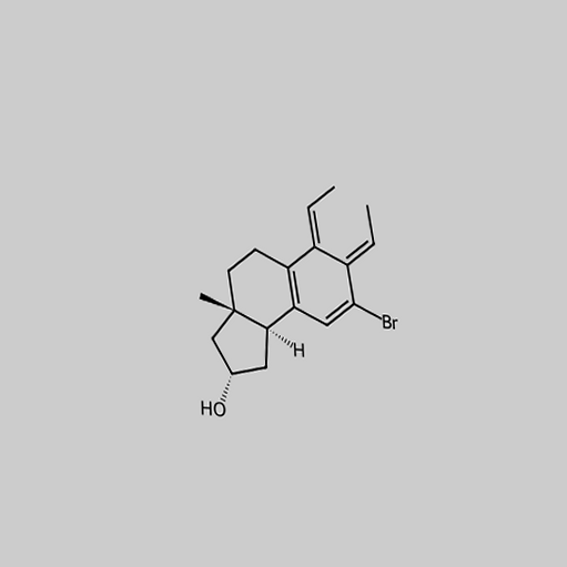 C/C=c1/c2c(cc(Br)/c1=C/C)[C@H]1C[C@H](O)C[C@]1(C)CC2